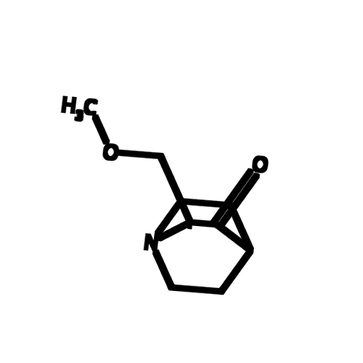 COC[C]1C(=O)C2CCN1CC2